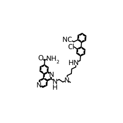 CN(CCCCNCc1ccc(-c2ccccc2CC#N)c(Cl)c1)CCNc1nc2cc(C(N)=O)ccc2c2cnccc12